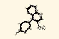 O=Cc1cnc2ccccc2c1-c1ccc(F)cc1